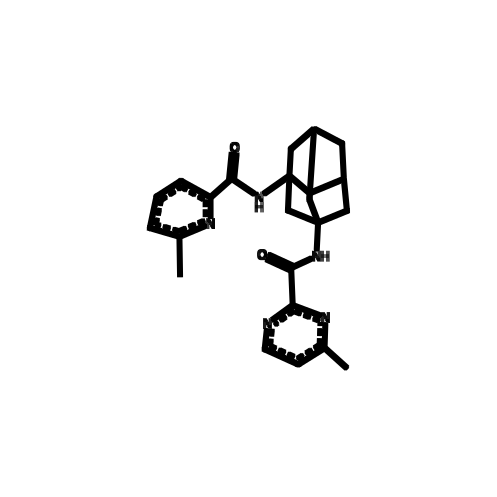 Cc1cccc(C(=O)NC23CC4CC(C2)CC(NC(=O)c2nccc(C)n2)(C4)C3)n1